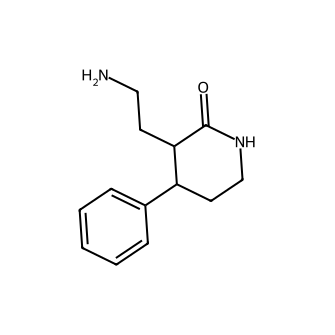 NCCC1C(=O)NCCC1c1ccccc1